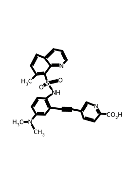 Cc1ccc2cccnc2c1S(=O)(=O)Nc1ccc(N(C)C)cc1C#Cc1ccc(C(=O)O)nc1